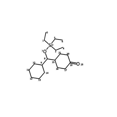 CC[Si](CC)(CC)OC(C1CCCCC1)C1CCC(=O)CC1